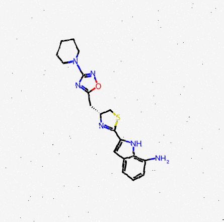 Nc1cccc2cc(C3=N[C@H](Cc4nc(N5CCCCC5)no4)CS3)[nH]c12